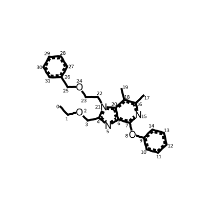 CCOCc1nc2c(Oc3ccccc3)nc(C)c(C)c2n1CCOCc1ccccc1